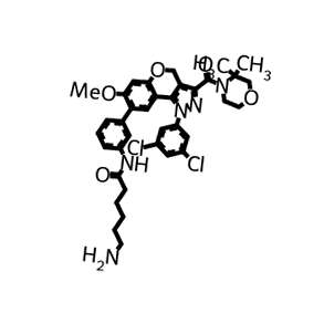 COc1cc2c(cc1-c1cccc(NC(=O)CCCCCN)c1)-c1c(c(C(=O)N3CCOCC3(C)C)nn1-c1cc(Cl)cc(Cl)c1)CO2